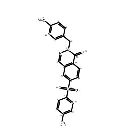 COc1ccc(Cn2ncc3cc(S(=O)(=O)c4ccc(C)cn4)ccc3c2=O)cn1